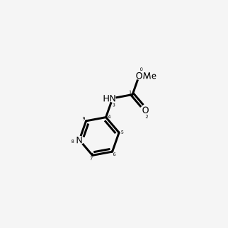 COC(=O)Nc1cc[c]nc1